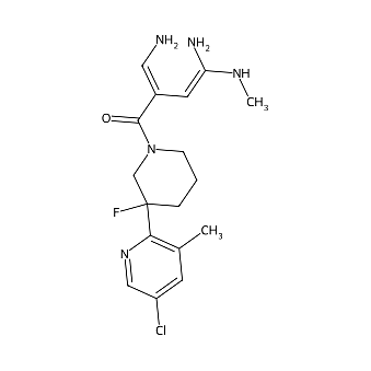 CN/C(N)=C/C(=C\N)C(=O)N1CCCC(F)(c2ncc(Cl)cc2C)C1